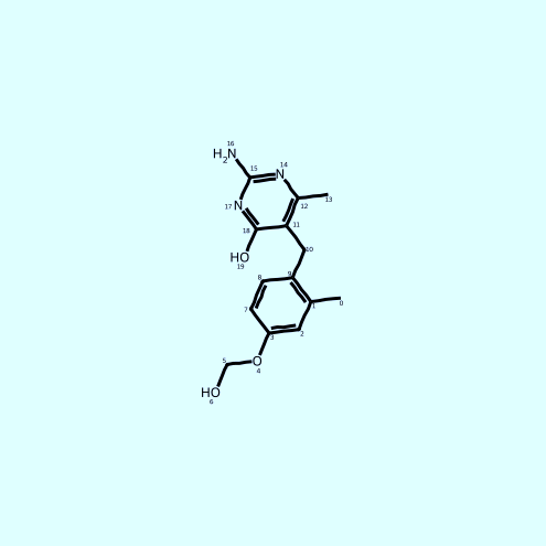 Cc1cc(OCO)ccc1Cc1c(C)nc(N)nc1O